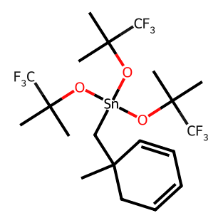 CC1([CH2][Sn]([O]C(C)(C)C(F)(F)F)([O]C(C)(C)C(F)(F)F)[O]C(C)(C)C(F)(F)F)C=CC=CC1